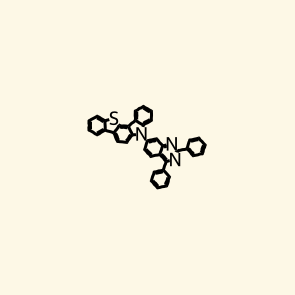 c1ccc(-c2nc(-c3ccccc3)c3ccc(-n4c5ccccc5c5c6sc7ccccc7c6ccc54)cc3n2)cc1